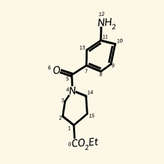 CCOC(=O)C1CCN(C(=O)c2cccc(N)c2)CC1